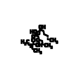 CCCCCC(=O)O.CCCCCC(=O)O.CCN(CC)C(C)O